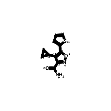 NC(=O)c1noc(-c2cccs2)c1C1CC1